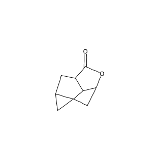 O=C1OC2CC34CC3CC1C24